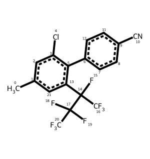 Cc1[c]c(Cl)c(-c2ccc(C#N)cc2)c(C(F)(C(F)(F)F)C(F)(F)C(F)(F)F)c1